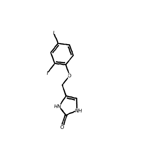 O=c1[nH]cc(COc2ccc(I)cc2I)[nH]1